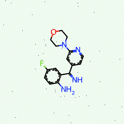 N=C(c1ccnc(N2CCOCC2)c1)c1cc(F)ccc1N